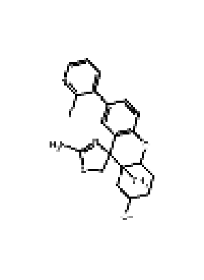 CC12CC(O)CCC1Oc1ccc(-c3cccnc3F)cc1C21COC(N)=N1